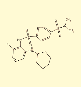 CN(C)S(=O)(=O)c1ccc(S(=O)(=O)Nc2c(F)cccc2NC2CCCCC2)cc1